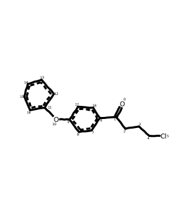 O=C(CCCCl)c1ccc(Oc2ccccc2)cc1